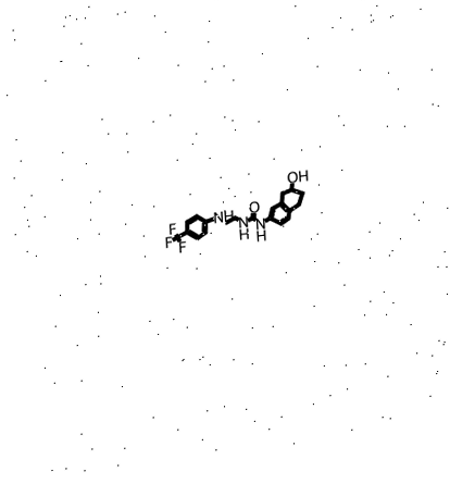 O=C(NCCNc1ccc(C(F)(F)F)cc1)Nc1ccc2c(c1)CC(O)CC2